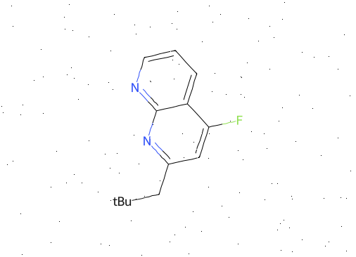 CC(C)(C)Cc1cc(F)c2cccnc2n1